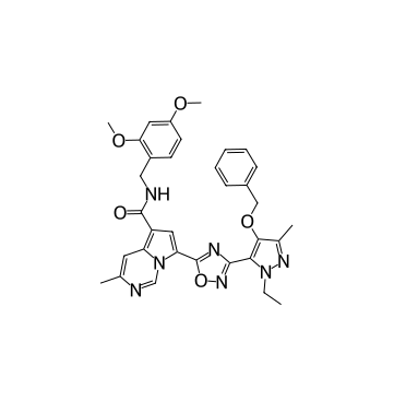 CCn1nc(C)c(OCc2ccccc2)c1-c1noc(-c2cc(C(=O)NCc3ccc(OC)cc3OC)c3cc(C)ncn23)n1